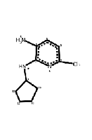 Nc1ccc(Cl)nc1NC1CCCC1